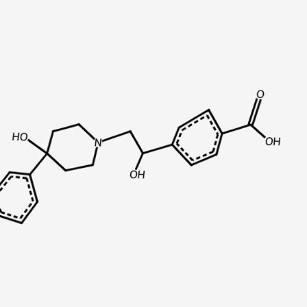 O=C(O)c1ccc(C(O)CN2CCC(O)(c3ccccc3)CC2)cc1